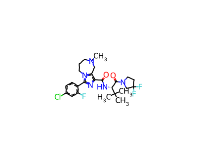 CN1CCCn2c(-c3ccc(Cl)cc3F)nc(C(=O)N[C@H](C(=O)N3CCC(F)(F)C3)C(C)(C)C)c2C1